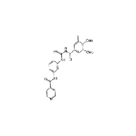 COc1cc(C(=O)NC(=N)Nc2cccc(NC(=O)c3ccncc3)c2)cc(C)c1OC